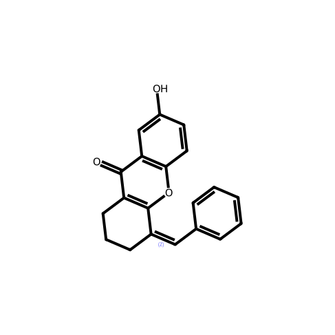 O=c1c2c(oc3ccc(O)cc13)/C(=C\c1ccccc1)CCC2